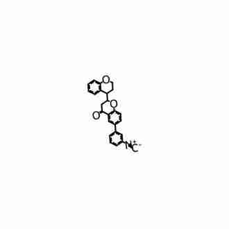 [C-]#[N+]c1cccc(-c2ccc3c(c2)C(=O)CC(C2CCOc4ccccc42)O3)c1